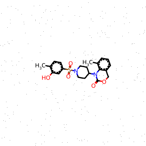 Cc1ccc(S(=O)(=O)N2CCC(N3C(=O)OCc4cccc(C)c43)CC2)cc1O